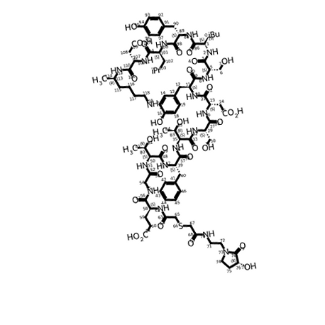 CC[C@H](C)[C@H](NC(=O)[C@H](CO)NC(=O)[C@H](Cc1ccc(O)cc1)NC(=O)[C@H](CC(=O)O)NC(=O)[C@H](CO)NC(=O)[C@@H](NC(=O)[C@H](Cc1ccccc1)NC(=O)[C@@H](NC(=O)CNC(=O)[C@H](CCC(=O)O)NC(=O)CSCC(=O)NCCN1CC[C@@H](O)C1=O)[C@@H](C)O)[C@@H](C)O)C(=O)N[C@@H](Cc1ccc(O)cc1)C(=O)N[C@@H](CC(C)C)C(=O)N[C@@H](CC(=O)O)C(=O)N[C@H](C)CCCCN